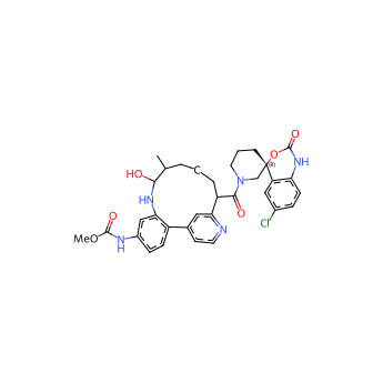 COC(=O)Nc1ccc2c(c1)NC(O)C(C)CCCC(C(=O)N1CCC[C@@]3(C1)OC(=O)Nc1ccc(Cl)cc13)c1cc-2ccn1